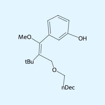 CCCCCCCCCCCOCC(=C(OC)c1cccc(O)c1)C(C)(C)C